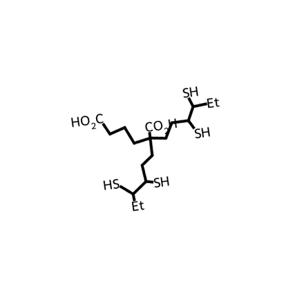 CCC(S)C(S)CCC(CCCC(=O)O)(CCC(S)C(S)CC)C(=O)O